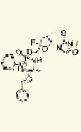 C[C@H](NP(=O)(OC[C@]1(F)C[C@H](C)[C@H](n2ccc(=O)[nH]c2=O)O1)Oc1ccccc1)C(=O)OCc1ccccc1